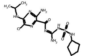 CC(C)Nc1nc(N)c(C(=O)/N=C(/N)NS(=O)(=O)NC2CCCC2)nc1Cl